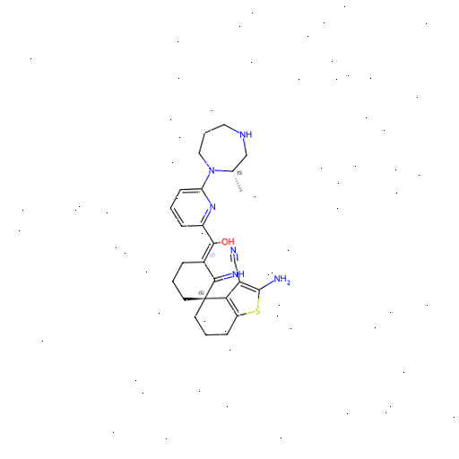 C[C@H]1CNCCCN1c1cccc(/C(O)=C2\CCC[C@@]3(CCCc4sc(N)c(C#N)c43)C2=N)n1